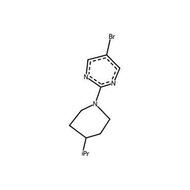 CC(C)C1CCN(c2ncc(Br)cn2)CC1